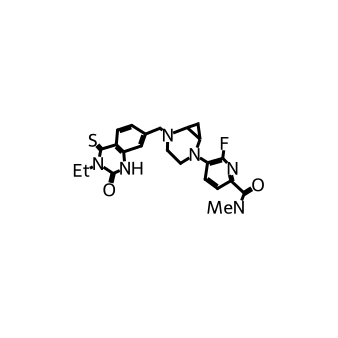 CCn1c(=O)[nH]c2cc(CN3CCN(c4ccc(C(=O)NC)nc4F)C4CC43)ccc2c1=S